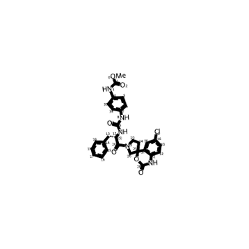 COC(=O)Nc1ccc(NC(=O)N[C@@H](Cc2ccccc2)C(=O)N2CCC3(C2)OC(=O)Nc2ccc(Cl)cc23)cc1